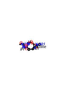 C=CC(=O)N1CCC(C(=O)N(C)[C@H](C(=O)N[C@H]2Cc3cccc(c3)-c3ccc4c(c3)c(c(-c3cnn(C5CCNCC5)c3[C@H](C)OC)n4CC)CC(C)(C)COC(=O)[C@@H]3CCCN(N3)C2=O)C(C)C)C1